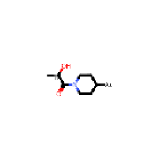 CC(=O)C1CCN(C(=O)[C@@H](C)O)CC1